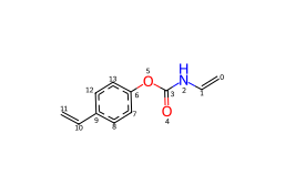 C=CNC(=O)Oc1ccc(C=C)cc1